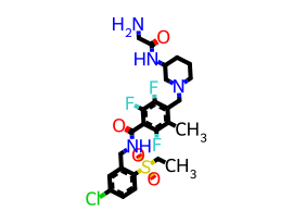 CCS(=O)(=O)c1ccc(Cl)cc1CNC(=O)c1c(F)c(C)c(CN2CCCC(NC(=O)CN)C2)c(F)c1F